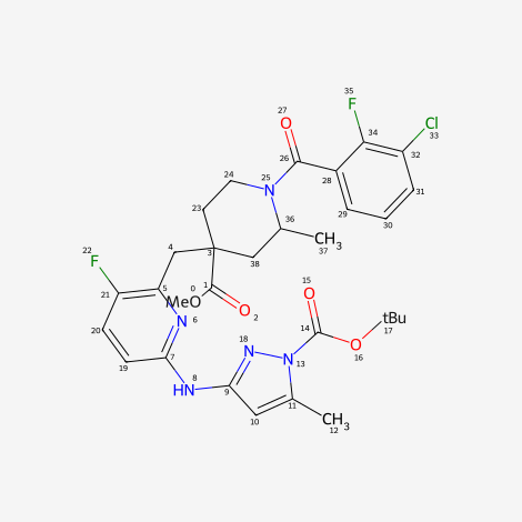 COC(=O)C1(Cc2nc(Nc3cc(C)n(C(=O)OC(C)(C)C)n3)ccc2F)CCN(C(=O)c2cccc(Cl)c2F)C(C)C1